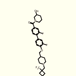 O=C(c1ccc(-c2ccc(OCC3CCN(CC4(C(F)(F)F)CCC4)CC3)c(F)c2)c(F)c1)N1CCCC(O)C1